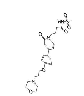 CS(=O)(=O)NC(=O)CCCn1ccc(-c2ccc(OCCCN3CCOCC3)cc2)cc1=O